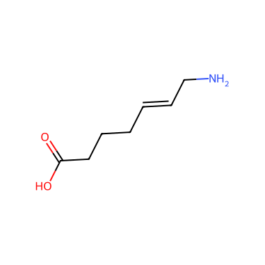 NCC=CCCCC(=O)O